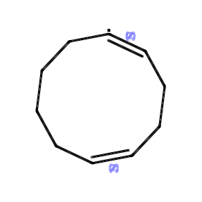 [C]1=C\CC/C=C\CCCC/1